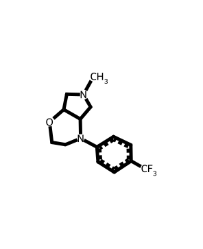 CN1CC2OCCN(c3ccc(C(F)(F)F)cc3)C2C1